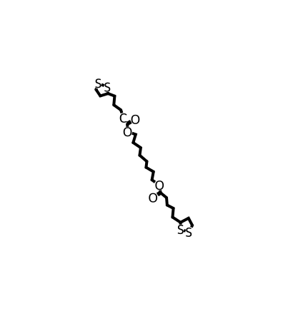 O=C(CCCCC1CCSS1)OCCCCCCCCOC(=O)CCCCC1CCSS1